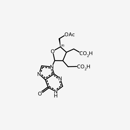 CC(=O)OC[C@@H]1OC(n2cnc3c(=O)[nH]cnc32)C(CC(=O)O)C1CC(=O)O